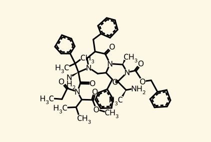 CCC(=O)N(C(=O)[C@@](N)(N1CC(Cc2ccccc2)C(=O)N([C@@H](C)N(C(=O)OCc2ccccc2)C(=O)[C@H](C)N)C(Cc2ccccc2)C1)C(C)(C)c1ccccc1)C(C(=O)OC)C(C)C